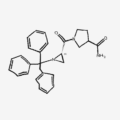 NC(=O)C1CCN(C(=O)[C@@H]2CN2C(c2ccccc2)(c2ccccc2)c2ccccc2)C1